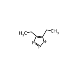 CCC1=C(CC)P=P[N]1